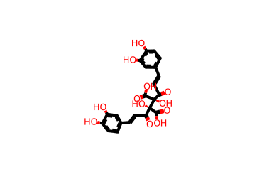 O=C(O)[C@](O)(C(=O)C=Cc1ccc(O)c(O)c1)[C@](O)(C(=O)O)C(=O)C=Cc1ccc(O)c(O)c1